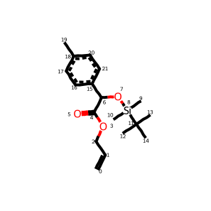 C=CCOC(=O)C(O[Si](C)(C)C(C)(C)C)c1ccc(C)cc1